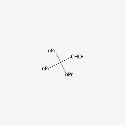 CCCC([C]=O)(CCC)CCC